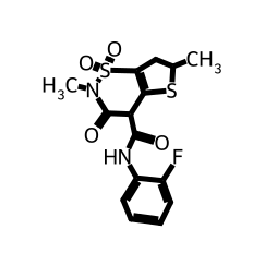 CC1CC2=C(S1)C(C(=O)Nc1ccccc1F)C(=O)N(C)S2(=O)=O